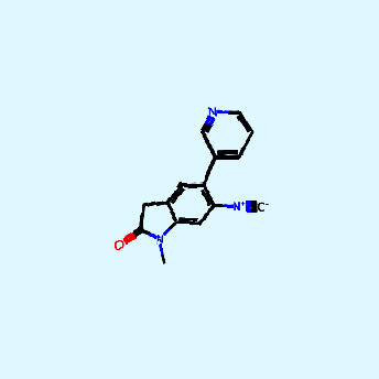 [C-]#[N+]c1cc2c(cc1-c1cccnc1)CC(=O)N2C